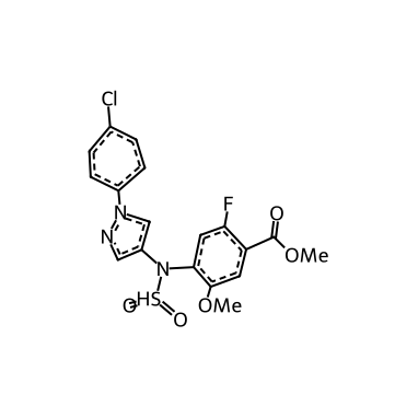 COC(=O)c1cc(OC)c(N(c2cnn(-c3ccc(Cl)cc3)c2)[SH](=O)=O)cc1F